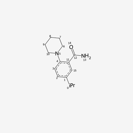 CC(C)c1ccc(N2CCCCC2)c(C(N)=O)c1